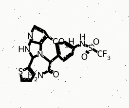 NC(=O)C(c1ccc(NS(=O)(=O)C(F)(F)F)cc1)N1c2c(C(=O)O)ccnc2NC1c1cccs1